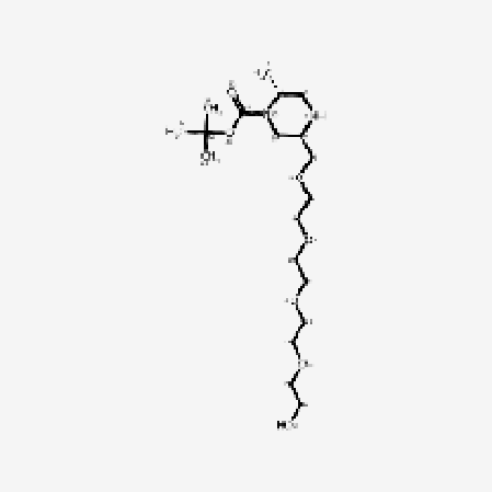 C[C@@H]1CN[C@@H](COCCOCCOCCOCCO)CN1C(=O)OC(C)(C)C